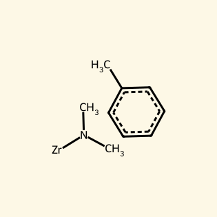 C[N](C)[Zr].Cc1ccccc1